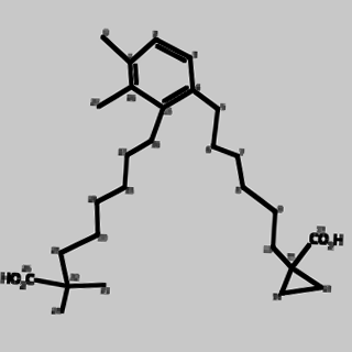 Cc1ccc(CCCCCCC2(C(=O)O)CC2)c(CCCCCCC(C)(C)C(=O)O)c1C